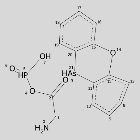 NCC(=O)O[PH](=O)O.c1ccc2c(c1)Oc1ccccc1[AsH]2